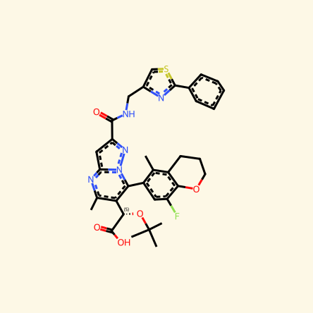 Cc1nc2cc(C(=O)NCc3csc(-c4ccccc4)n3)nn2c(-c2cc(F)c3c(c2C)CCCO3)c1[C@H](OC(C)(C)C)C(=O)O